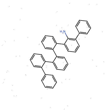 Nc1c(-c2ccccc2)cccc1-c1ccccc1-c1ccccc1-c1ccccc1-c1ccccc1